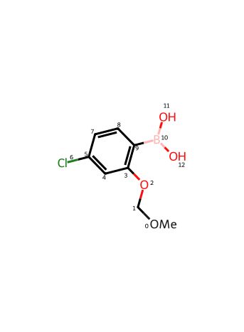 COCOc1cc(Cl)ccc1B(O)O